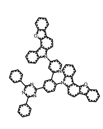 c1ccc(-c2nc(-c3ccccc3)nc(-c3ccc(-n4c5ccccc5c5c6oc7ccccc7c6ccc54)c(-c4cc(-n5c6ccccc6c6c7oc8ccccc8c7ccc65)ccn4)c3)n2)cc1